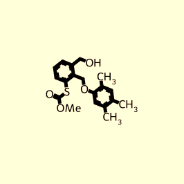 COC(=O)Sc1cccc(CO)c1COc1cc(C)c(C)cc1C